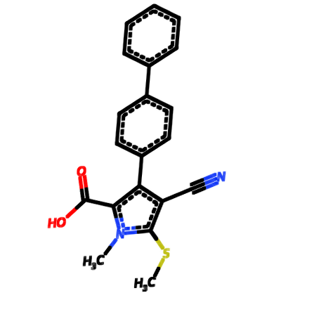 CSc1c(C#N)c(-c2ccc(-c3ccccc3)cc2)c(C(=O)O)n1C